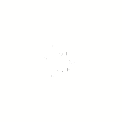 CCCCS[S-].O=C(O)O.[Na+]